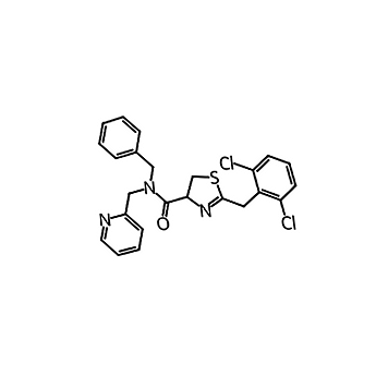 O=C(C1CSC(Cc2c(Cl)cccc2Cl)=N1)N(Cc1ccccc1)Cc1ccccn1